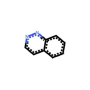 [c]1[c]c2ccnnc2cc1